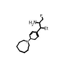 CCC(C1=CCC(N2CCCCCCC2)C=C1)C(N)CF